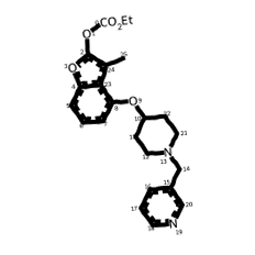 CCOC(=O)Oc1oc2cccc(OC3CCN(Cc4cccnc4)CC3)c2c1C